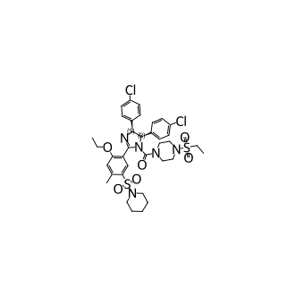 CCOc1cc(C)c(S(=O)(=O)N2CCCCC2)cc1C1=N[C@@H](c2ccc(Cl)cc2)[C@@H](c2ccc(Cl)cc2)N1C(=O)N1CCN(S(=O)(=O)CC)CC1